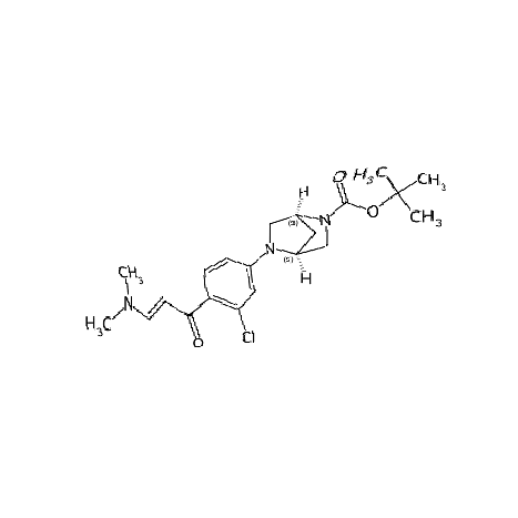 CN(C)C=CC(=O)c1ccc(N2C[C@@H]3C[C@H]2CN3C(=O)OC(C)(C)C)cc1Cl